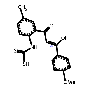 COc1ccc(/C(O)=C/C(=O)c2cc(C)ccc2NC(=S)S)cc1